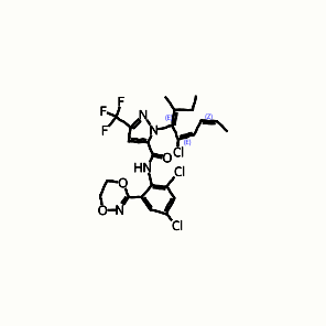 C\C=C/C=C(Cl)\C(=C(\C)CC)n1nc(C(F)(F)F)cc1C(=O)Nc1c(Cl)cc(Cl)cc1C1=NOCCO1